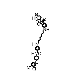 N#Cc1ccc(O[C@H]2CC[C@H](NC(=O)c3ccc(NCCCCCCCCNc4ccc5c(c4)C(=O)N(C4CCC(=O)NC4=O)C5=O)cc3)CC2)cc1Cl